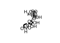 COP(=O)(O)OP(=O)(O)OC[C@H]1O[C@@H](n2ccc(=O)[nH]c2=O)[C@@H](O)C1O